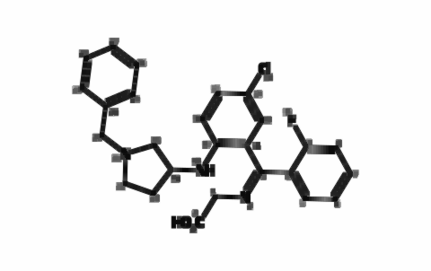 O=C(O)CN=C(c1ccccc1F)c1cc(Cl)ccc1NC1CCN(Cc2ccccc2)C1